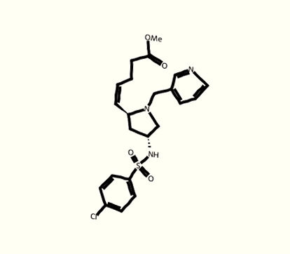 COC(=O)CC/C=C\[C@@H]1C[C@@H](NS(=O)(=O)c2ccc(Cl)cc2)CN1Cc1cccnc1